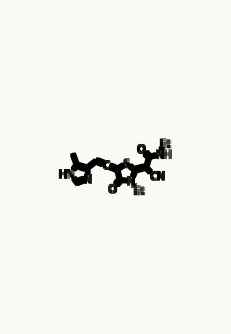 CCNC(=O)/C(C#N)=c1\sc(=C=Cc2nc[nH]c2C)c(=O)n1CC